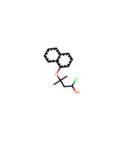 CC(C)(CC(O)Cl)Oc1cccc2ccccc12